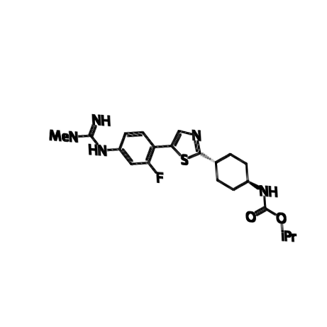 CNC(=N)Nc1ccc(-c2cnc([C@H]3CC[C@H](NC(=O)OC(C)C)CC3)s2)c(F)c1